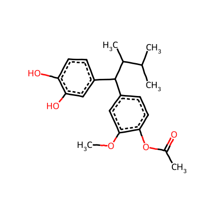 COc1cc(C(c2ccc(O)c(O)c2)C(C)C(C)C)ccc1OC(C)=O